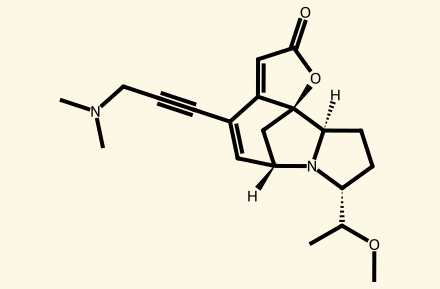 COC(C)[C@H]1CC[C@H]2N1[C@@H]1C=C(C#CCN(C)C)C3=CC(=O)O[C@@]32C1